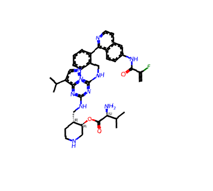 C=C(F)C(=O)Nc1ccc2c(-c3ccccc3CNc3nc(NC[C@H]4CCNC[C@@H]4OC(=O)[C@@H](N)C(C)C)nc4c(C(C)C)cnn34)nccc2c1